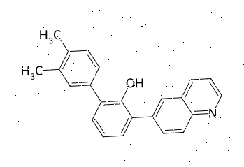 Cc1ccc(-c2cccc(-c3ccc4ncccc4c3)c2O)cc1C